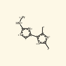 Cc1nc(C)c(-c2csc(NC(C)C)n2)s1